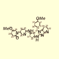 COc1ccc(Cn2c(N[C@H]3CC[C@H](Nc4ccc(-n5cc(OC)ccc5=O)cn4)C3)nc3ncccc32)cc1